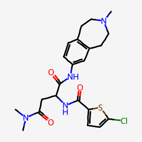 CN1CCc2ccc(NC(=O)C(CC(=O)N(C)C)NC(=O)c3ccc(Cl)s3)cc2CC1